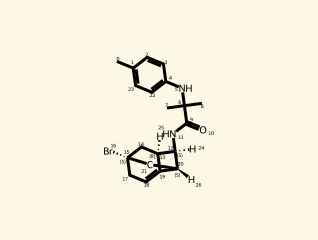 Cc1ccc(NC(C)(C)C(=O)N[C@@H]2[C@@H]3C[C@]4(Br)CC=C3[C@@H]2C4)cc1